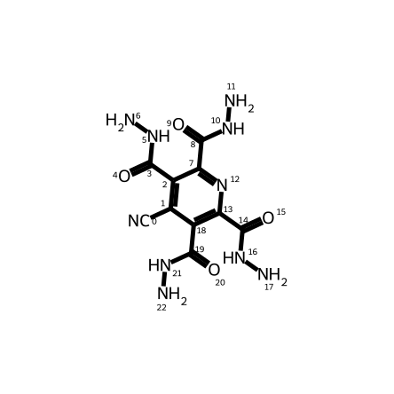 N#Cc1c(C(=O)NN)c(C(=O)NN)nc(C(=O)NN)c1C(=O)NN